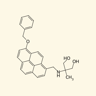 CC(CO)(CO)NCc1ccc2ccc3ccc(OCc4ccccc4)c4ccc1c2c34